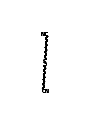 N#CCCCCCCCCCCCSSCCCCCCCCCCCC#N